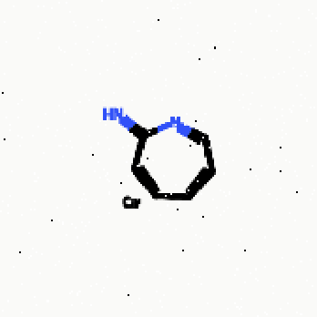 N=c1cccccn1.[Ca]